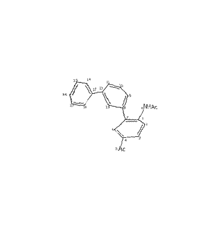 CC(=O)Nc1ccc(C(C)=O)cc1-c1cccc(-c2ccccc2)c1